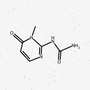 Cn1c(NC(N)=O)nccc1=O